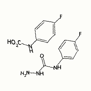 NNC(=O)Nc1ccc(F)cc1.O=C(O)Nc1ccc(F)cc1